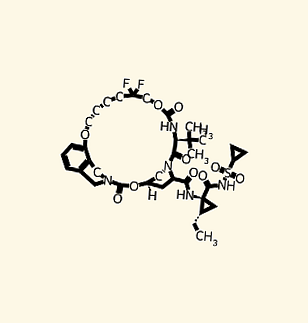 CC[C@H]1C[C@@]1(NC(=O)C1C[C@@H]2CN1C(=O)[C@H](C(C)(C)C)NC(=O)OCC(F)(F)CCCCOc1cccc3c1CN(C3)C(=O)O2)C(=O)NS(=O)(=O)C1CC1